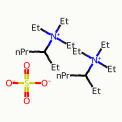 CCCC(CC)[N+](CC)(CC)CC.CCCC(CC)[N+](CC)(CC)CC.O=S(=O)([O-])[O-]